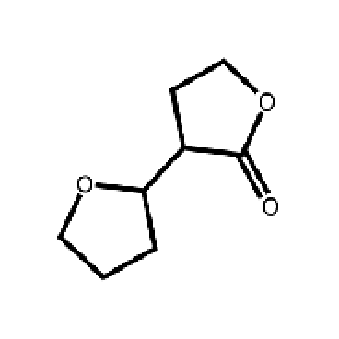 O=C1OCCC1C1CCCO1